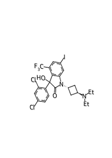 CCN(CC)[C@H]1C[C@H](N2C(=O)C(O)(c3ccc(Cl)cc3Cl)c3c2cc(I)cc3C(F)(F)F)C1